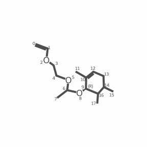 C=COCCOC(C)O[C@H]1C(C)=CCC(C)C1C